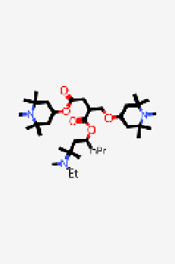 CCCC(CC(C)(C)N(C)CC)OC(=O)C(COC1CC(C)(C)N(C)C(C)(C)C1)CC(=O)OC1CC(C)(C)N(C)C(C)(C)C1